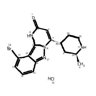 C[C@H]1C[C@H](c2cc(=O)[nH]c3c4c(Br)cccc4nn23)CCN1.Cl